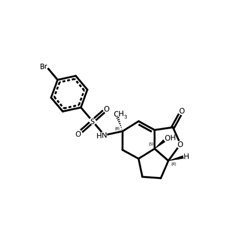 C[C@]1(NS(=O)(=O)c2ccc(Br)cc2)C=C2C(=O)O[C@@H]3CCC(C1)[C@]23O